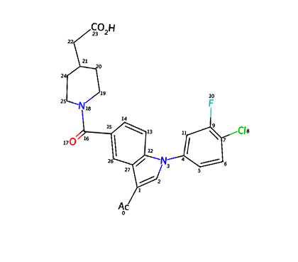 CC(=O)c1cn(-c2ccc(Cl)c(F)c2)c2ccc(C(=O)N3CCC(CC(=O)O)CC3)cc12